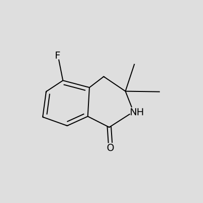 CC1(C)Cc2c(F)cccc2C(=O)N1